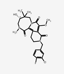 COc1c2c(c3n(c1=O)CC(C)(C)[C@@H](O)CN(C)C3=O)CCN(Cc1ccc(F)c(Cl)c1)C2=O